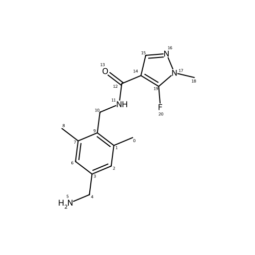 Cc1cc(CN)cc(C)c1CNC(=O)c1cnn(C)c1F